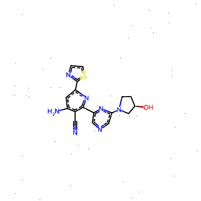 N#Cc1c(N)cc(-c2nccs2)nc1-c1cncc(N2CC[C@@H](O)C2)n1